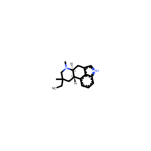 CN1CC(C)(CC#N)C[C@H]2c3cccc4[nH]cc(c34)C[C@@H]21